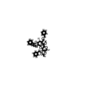 COC(=O)C1O[C@@H](C)C(OC(C)=O)[C@H](OCc2ccccc2)[C@@H]1O[C@H]1OC(COCc2ccccc2)[C@@H](C)[C@@H](OCc2ccccc2)C1N=[N+]=[N-]